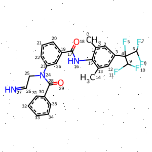 Cc1cc(C(F)(C(F)F)C(F)F)cc(C)c1NC(=O)c1cccc(N(CC=N)C(=O)c2ccccc2)c1